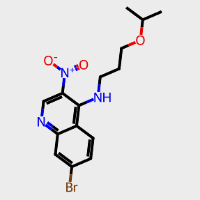 CC(C)OCCCNc1c([N+](=O)[O-])cnc2cc(Br)ccc12